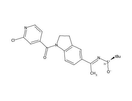 CC(=N[S@+]([O-])C(C)(C)C)c1ccc2c(c1)CCN2C(=O)c1ccnc(Cl)c1